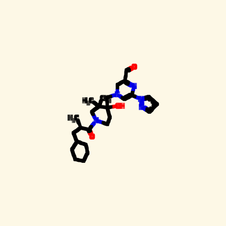 C[C@H](CC1CCCCC1)C(=O)N1CCC(O)(CN2C=C(n3cccn3)N=C(C=O)C2)C(C)(C)C1